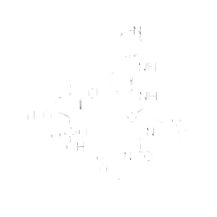 C[C@@H]1CN(C(=O)CN2CC(C)(C)OC[C@H]2C(=O)Nc2cc(Cl)cc3c2[nH]c2cnccc23)C[C@H](C)O1.Cc1ccc(S(=O)(=O)O)cc1.O